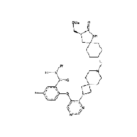 CCN(C(=O)c1cc(F)ccc1Oc1cncnc1N1CC2(CCN(C[C@H]3CC[C@]4(CC3)C[C@@H](COC)C(=O)N4)CC2)C1)C(C)C